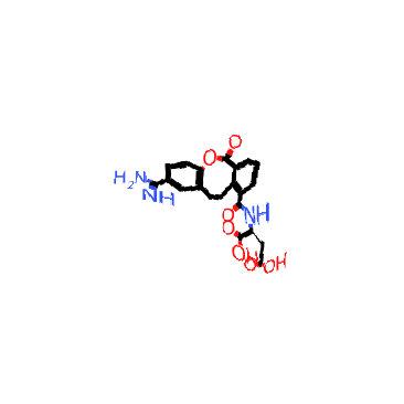 N=C(N)c1ccc2c(c1)CCc1c(C(=O)N[C@@H](CC(=O)O)C(=O)O)cccc1C(=O)O2